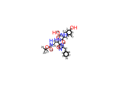 Cc1cc(O)cc(C)c1CC(NC(=O)O)C(=O)NC(CCNC(=O)OC(C)(C)C)c1nc(Cc2ccccc2)no1